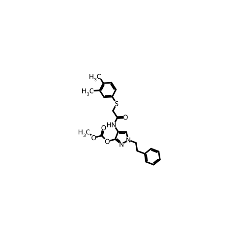 COC(=O)Oc1nn(CCc2ccccc2)cc1NC(=O)CSc1ccc(C)c(C)c1